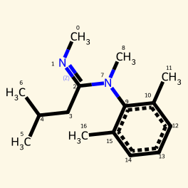 C/N=C(/CC(C)C)N(C)c1c(C)cccc1C